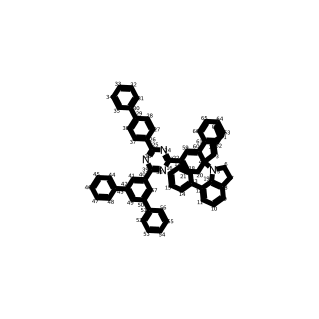 C=CC=CC1(N2CCc3cccc(-c4ccccc4)c32)CC=C(c2nc(-c3ccc(-c4ccccc4)cc3)nc(-c3cc(-c4ccccc4)cc(-c4ccccc4)c3)n2)C=C1c1ccccc1